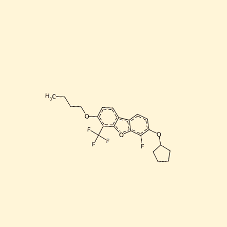 CCCCOc1ccc2c(oc3c(F)c(OC4CCCC4)ccc32)c1C(F)(F)F